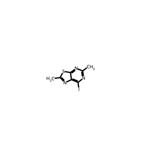 Cc1nc(I)c2nc(C)sc2n1